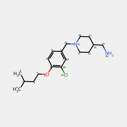 CC(C)CCOc1ccc(CN2CCC(CN)CC2)cc1Cl